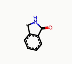 O=C1N[C]c2ccccc21